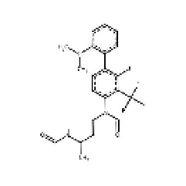 CC(CCN(C=O)c1ccc(-c2ccccc2P(C)C)c(F)c1C(F)(F)F)NC=O